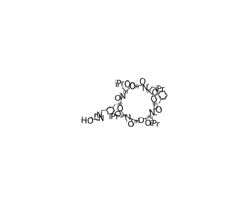 CC(C)C[C@H]1C(=O)O[C@H](Cc2cccc(Cn3cc(O)cn3)c2)C(=O)N(C)[C@@H](CC(C)C)C(=O)O[C@H](C)C(=O)N(C)[C@@H](CC(C)C)C(=O)O[C@H](Cc2ccccc2)C(=O)N(C)[C@@H](CC(C)C)C(=O)O[C@H](C)C(=O)N1C